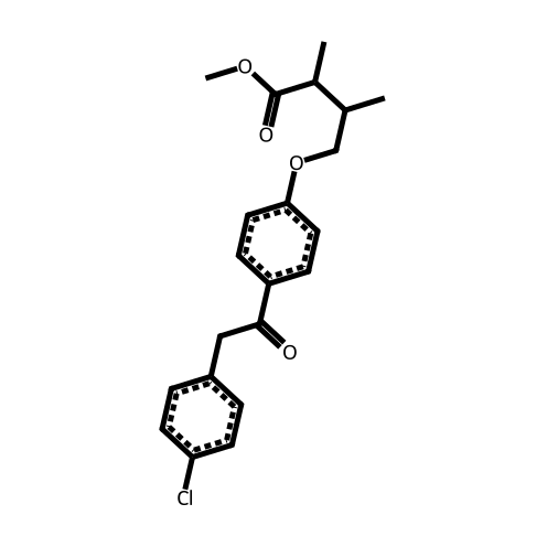 COC(=O)C(C)C(C)COc1ccc(C(=O)Cc2ccc(Cl)cc2)cc1